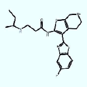 CC[C@H](C)NCCC(=O)Nc1sc2c(c1-c1nc3cc(F)ccc3s1)CCNC2